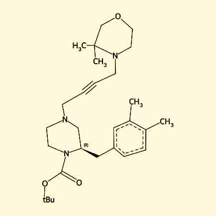 Cc1ccc(C[C@@H]2CN(CC#CCN3CCOCC3(C)C)CCN2C(=O)OC(C)(C)C)cc1C